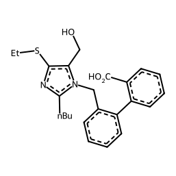 CCCCc1nc(SCC)c(CO)n1Cc1ccccc1-c1ccccc1C(=O)O